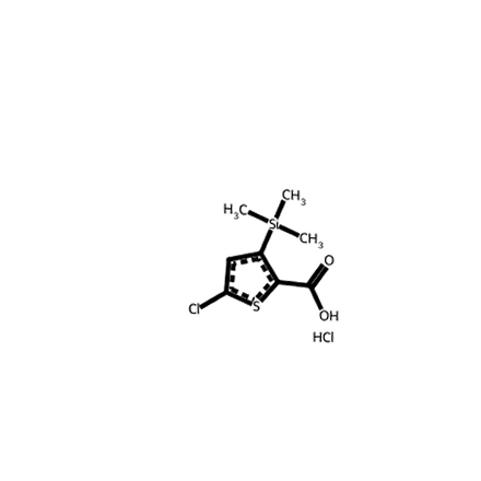 C[Si](C)(C)c1cc(Cl)sc1C(=O)O.Cl